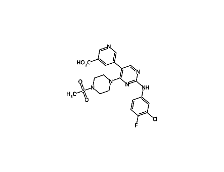 CS(=O)(=O)N1CCN(c2nc(Nc3ccc(F)c(Cl)c3)ncc2-c2cncc(C(=O)O)c2)CC1